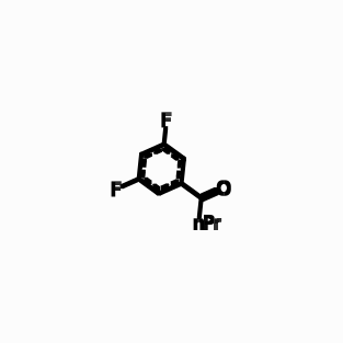 CCCC(=O)c1cc(F)cc(F)c1